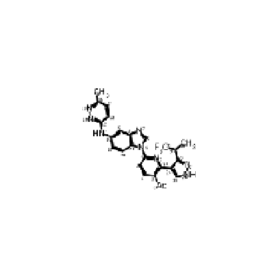 CC(=O)c1ccc(-n2cnc3cc(Nc4ccc(C)nn4)ccc32)nc1-c1c[nH]nc1C(C)C(F)(F)F